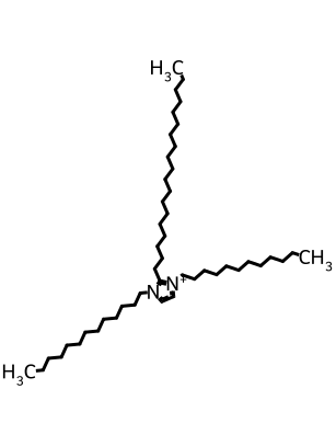 CCCCCCCCCCCCCCCCCCCc1n(CCCCCCCCCCCCC)cc[n+]1CCCCCCCCCCCC